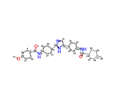 COc1ccc(C(=O)Nc2ccc(-c3ncc(-c4ccc(NC(=O)C5CCC(C)CC5)cc4)[nH]3)cc2)cc1